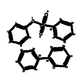 O=S(=O)(Oc1ccccc1)c1ccccc1.c1ccc(-c2ccccc2)cc1